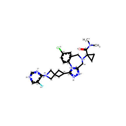 CN(C)C(=O)C1(N2Cc3cc(Cl)ccc3-n3c(nnc3C3CC4(C3)CN(c3ncncc3F)C4)C2)CC1